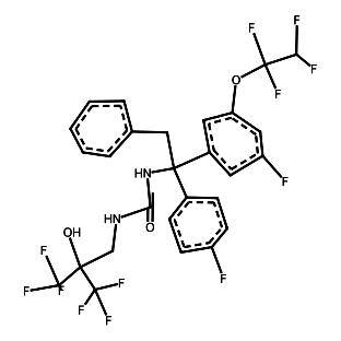 O=C(NCC(O)(C(F)(F)F)C(F)(F)F)NC(Cc1ccccc1)(c1ccc(F)cc1)c1cc(F)cc(OC(F)(F)C(F)F)c1